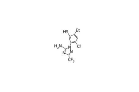 CCc1cc(Cl)c(-n2nc(C(F)(F)F)nc2N)cc1S